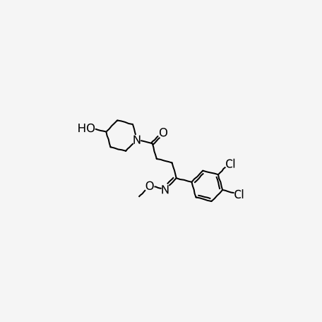 CON=C(CCC(=O)N1CCC(O)CC1)c1ccc(Cl)c(Cl)c1